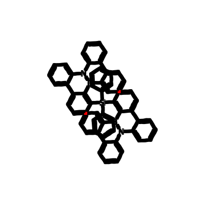 c1ccc([Si](c2ccccc2)(c2cccc3c2B2c4ccccc4-c4ccccc4N2c2ccccc2-3)c2cccc3c2B2c4ccccc4-c4ccccc4N2c2ccccc2-3)cc1